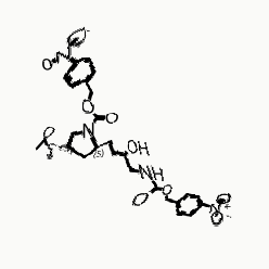 CC(=O)S[C@H]1C[C@H](CCC(O)CNC(=O)OCc2ccc([N+](=O)[O-])cc2)N(C(=O)OCc2ccc([N+](=O)[O-])cc2)C1